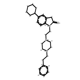 O=C1Cc2cc(C3CCCCC3)ccc2N1CCN1CCN(CCc2ccccc2)CC1